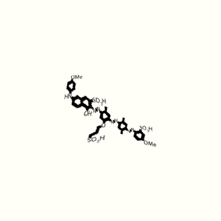 COc1ccc(Nc2ccc3c(O)c(N=Nc4cc(OCCCS(=O)(=O)O)c(N=Nc5cc(C)c(N=Nc6ccc(OC)cc6S(=O)(=O)O)cc5C)cc4C)c(S(=O)(=O)O)cc3c2)cc1